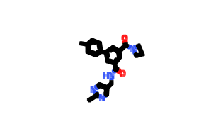 Cc1ccc(-c2cc(C(=O)NCc3cnc(C)nc3)cc(C(=O)N3CCC3)c2)cc1